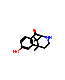 C[C@H]1C2NCCC1(C)c1cc(O)ccc1C2=O